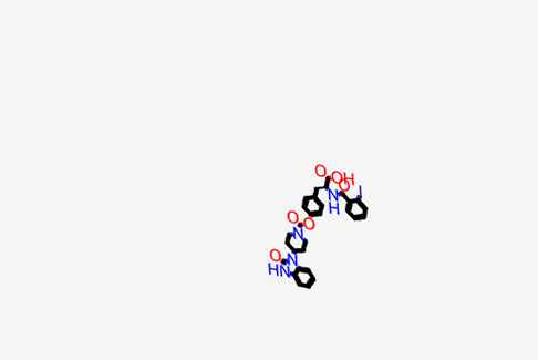 O=C(N[C@@H](Cc1ccc(OC(=O)N2CCC(n3c(=O)[nH]c4ccccc43)CC2)cc1)C(=O)O)c1ccccc1I